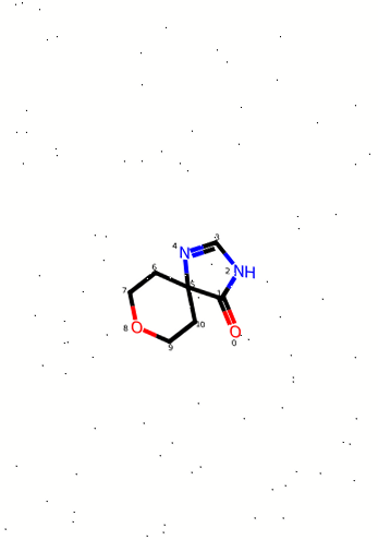 O=C1NC=NC12CCOCC2